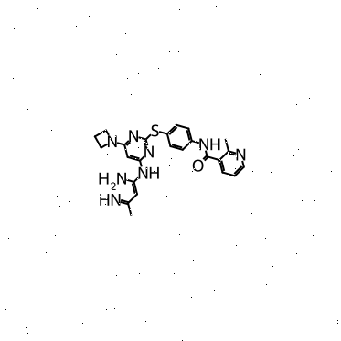 CC(=N)/C=C(\N)Nc1cc(N2CCC2)nc(Sc2ccc(NC(=O)c3cccnc3C)cc2)n1